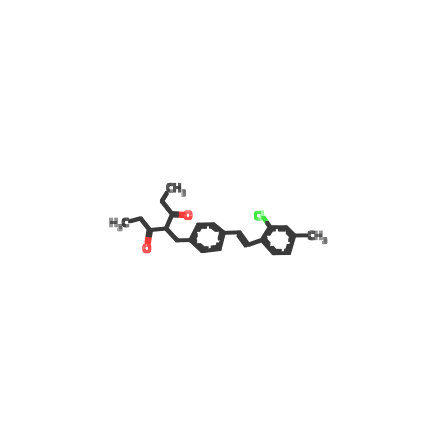 CCC(=O)C(Cc1ccc(/C=C/c2ccc(C)cc2Cl)cc1)C(=O)CC